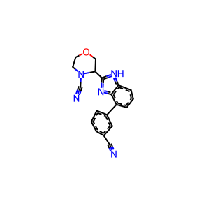 N#Cc1cccc(-c2cccc3[nH]c(C4COCCN4C#N)nc23)c1